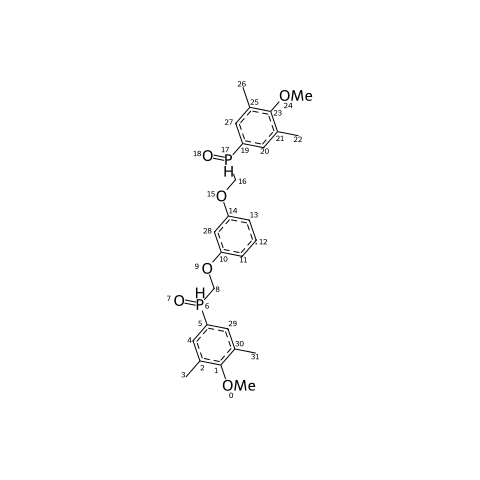 COc1c(C)cc([PH](=O)COc2c[c]cc(OC[PH](=O)c3cc(C)c(OC)c(C)c3)c2)cc1C